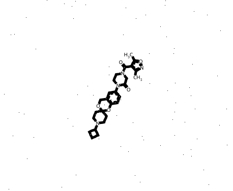 Cc1noc(C)c1C(=O)N1CCN(c2ccc3c(c2)COC2(CCN(C4CCC4)CC2)O3)C(=O)C1